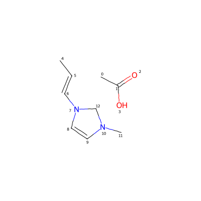 CC(=O)O.CC=CN1C=CN(C)C1